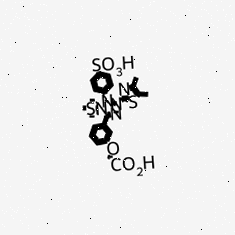 Cc1nc(N2N=C(c3cccc(OCC(=O)O)c3)N([Si](C)(C)C)N2c2ccc(S(=O)(=O)O)cc2)sc1C